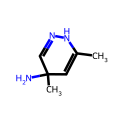 CC1=CC(C)(N)C=NN1